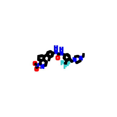 CCN1CCN(Cc2ccc(NC(=O)Nc3ccc(-c4cccc5c([N+](=O)[O-])nccc45)c(C)c3)cc2C(F)(F)F)CC1